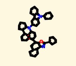 c1ccc(-c2nc3c(o2)c(-c2ccc(N(c4ccc5c(c4)c4ccccc4n5-c4ccccc4)c4ccccc4-c4ccccc4)cc2)cc2ccccc23)cc1